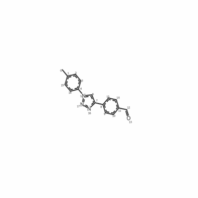 Cc1ccc(-n2cc(-c3ccc(C=O)cc3)nn2)cc1